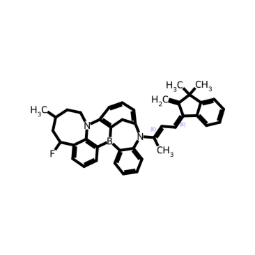 C=C1/C(=C\C=C(/C)N2C3=CC=CC4=C(C3)B(c3ccccc32)c2cccc3c2N4CCC(C)CC3F)c2ccccc2C1(C)C